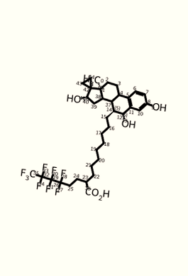 C[C@]12CCC3c4ccc(O)cc4[C@@H](O)[C@@H](CCCCCCCCC(CCC(F)(F)C(F)(F)C(F)(F)C(F)(F)F)C(=O)O)C3C1C[C@@H](O)C21CC1